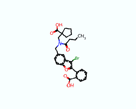 CCCC(=O)N(Cc1ccc2oc(-c3ccccc3C(=O)O)c(Br)c2c1)CC1(C(=O)O)CCCC1